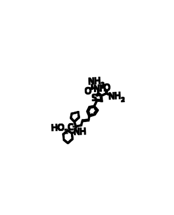 NC(=O)Nc1sc(-c2ccc(C=CC[C@](NC3CCCCC3)(C(=O)O)C3CCCC3)cc2)cc1C(N)=O